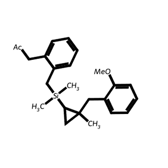 COc1ccccc1CC1(C)CC1[Si](C)(C)Cc1ccccc1CC(C)=O